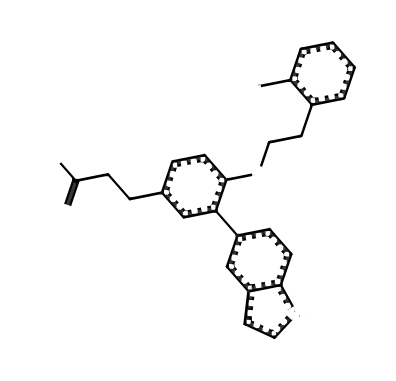 O=C(O)CCc1ccc(OCCc2ccccc2Cl)c(-c2ccc3[nH]ccc3c2)c1